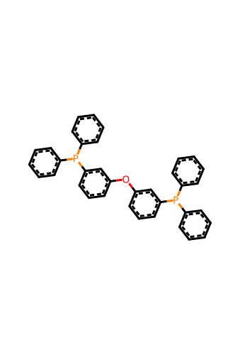 c1ccc(P(c2ccccc2)c2cccc(Oc3cccc(P(c4ccccc4)c4ccccc4)c3)c2)cc1